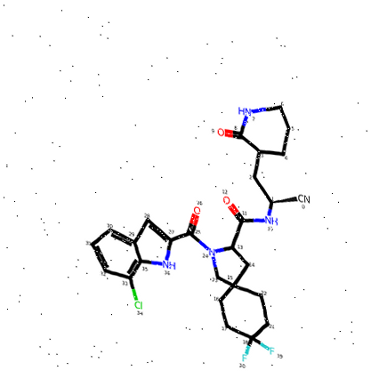 N#C[C@H](CC1CCCNC1=O)NC(=O)C1CC2(CCC(F)(F)CC2)CN1C(=O)c1cc2cccc(Cl)c2[nH]1